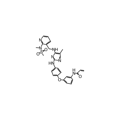 C=CC(=O)Nc1cccc(Oc2ccc(Nc3ncc(C)c(NCc4cccnc4N(C)S(C)(=O)=O)n3)cc2)c1